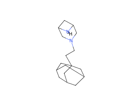 [2H]N1C2CC1CN(CCC13CC4CC(CC(C4)C1)C3)C2